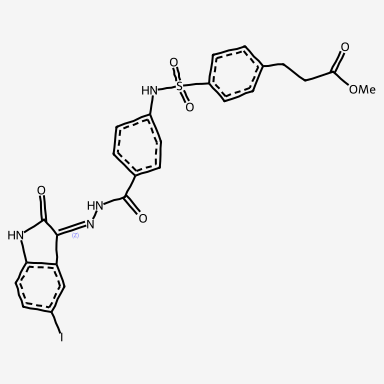 COC(=O)CCc1ccc(S(=O)(=O)Nc2ccc(C(=O)N/N=C3\C(=O)Nc4ccc(I)cc43)cc2)cc1